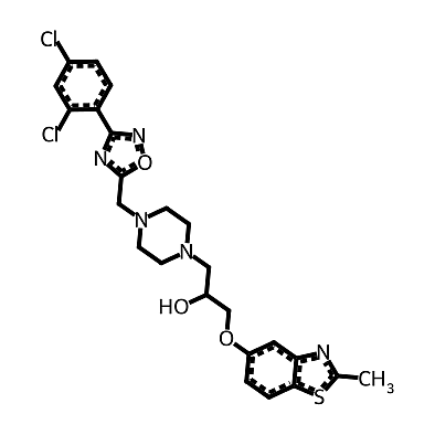 Cc1nc2cc(OCC(O)CN3CCN(Cc4nc(-c5ccc(Cl)cc5Cl)no4)CC3)ccc2s1